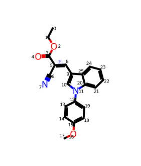 CCOC(=O)/C(C#N)=C/c1cn(-c2ccc(OC)cc2)c2ccccc12